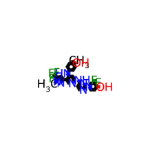 Cn1nc(-c2cnc(Nc3ccnc(N4CCC(O)C(F)(F)C4)n3)cc2NC2CCC(C)(O)CC2)cc1C(F)(F)F